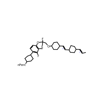 C/C=C/C1CCC(/C=C/C2CCC(OCC(F)(F)Oc3ccc(C4CCC(CCCCC)CC4)c(F)c3F)CC2)CC1